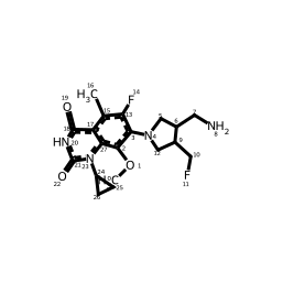 COc1c(N2CC(CN)C(CF)C2)c(F)c(C)c2c(=O)[nH]c(=O)n(C3CC3)c12